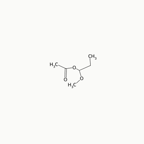 CCC(OC)OC(C)=O